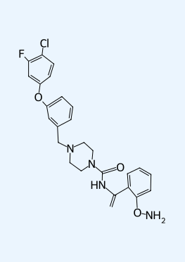 C=C(NC(=O)N1CCN(Cc2cccc(Oc3ccc(Cl)c(F)c3)c2)CC1)c1ccccc1ON